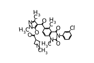 Cc1nn(C)c(OC(=O)C2CN(C)C2)c1C(=O)c1ccc2c(c1C)c(=O)n(-c1cccc(Cl)c1)c(=O)n2C